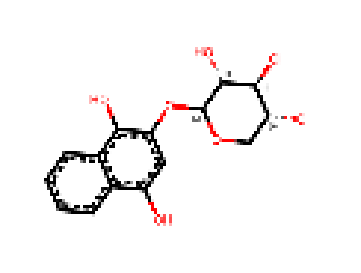 Oc1cc(O[C@@H]2OC[C@@H](O)[C@H](O)[C@H]2O)c(O)c2ccccc12